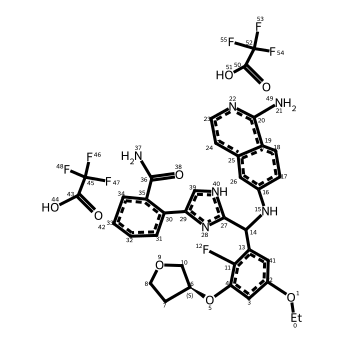 CCOc1cc(O[C@H]2CCOC2)c(F)c(C(Nc2ccc3c(N)nccc3c2)c2nc(-c3ccccc3C(N)=O)c[nH]2)c1.O=C(O)C(F)(F)F.O=C(O)C(F)(F)F